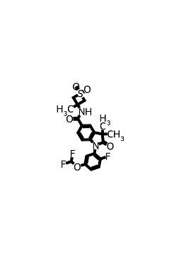 CC1(NC(=O)c2ccc3c(c2)C(C)(C)C(=O)N3c2cc(OC(F)F)ccc2F)CS(=O)(=O)C1